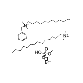 CCCCCCCCCCCCCC[N+](C)(C)C.CCCCCCCCCCCC[N+](C)(C)Cc1ccccc1.COS(=O)(=O)O.[Br-].[Cl-]